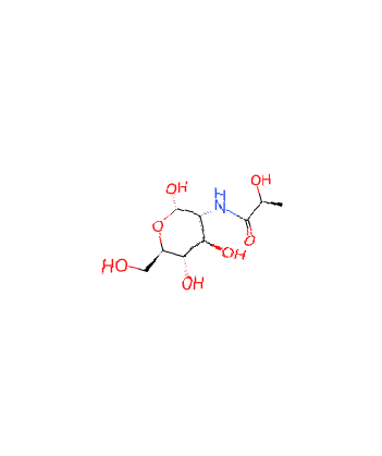 C[C@H](O)C(=O)N[C@@H]1[C@@H](O)[C@H](O)[C@@H](CO)O[C@@H]1O